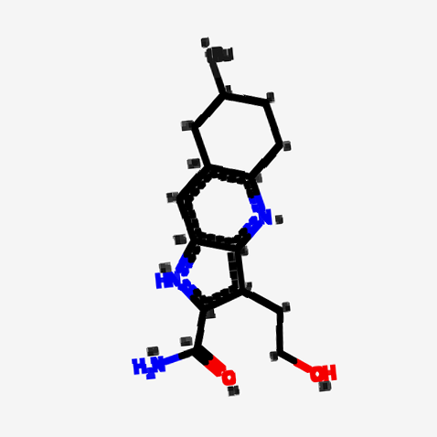 CC(C)(C)C1CCc2nc3c(CCO)c(C(N)=O)[nH]c3cc2C1